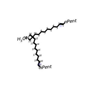 CCCCC/C=C/CCCCCCCCC1(CCCCCCCC/C=C/CCCCC)CN(C)C1